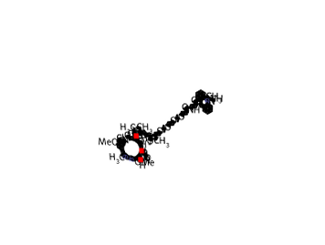 COc1cc2cc(c1Cl)NC(=O)C[C@H](OC(=O)[C@H](C)N(C)C(=O)CCCC(=O)N(C)CCOCCOCCOCCOCCC(=O)NCCC(=O)N1Cc3ccccc3/C(N=N)=C(/C)c3ccccc31)[C@]1(C)O[C@H]1C[C@@H]1C[C@@](O)(NC(=O)O1)[C@H](OC)/C=C/C=C(/C)C2